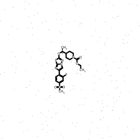 CCOC(=O)N1CCC([C@H](C)Oc2nn3cc(-c4ccc(S(C)(=O)=O)cc4F)nc3s2)CC1